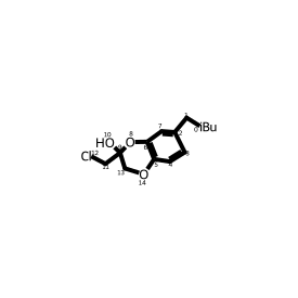 CCC(C)Cc1ccc2c(c1)OC(O)(CCl)CO2